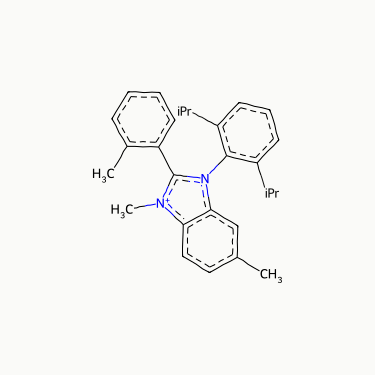 Cc1ccc2c(c1)n(-c1c(C(C)C)cccc1C(C)C)c(-c1ccccc1C)[n+]2C